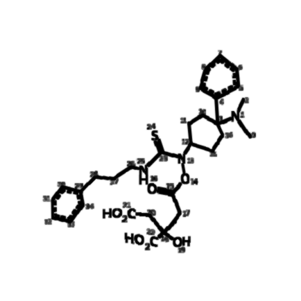 CN(C)C1(c2ccccc2)CCC(N(OC(=O)CC(O)(CC(=O)O)C(=O)O)C(=S)NCCCc2ccccc2)CC1